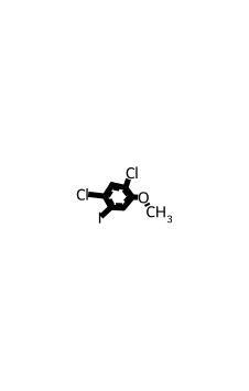 COc1cc(I)c(Cl)cc1Cl